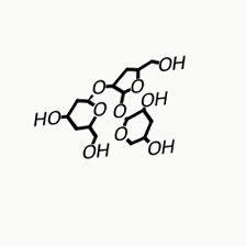 OCC1CC(O[C@@H]2CC(O)CC(CO)O2)C(OC2OCC(O)CC2O)O1